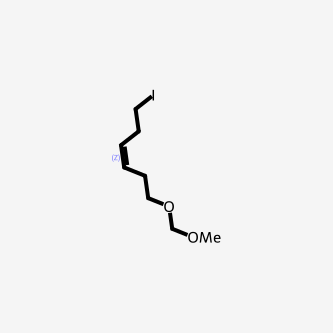 COCOCC/C=C\CCI